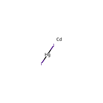 [Cd].[I][Hg][I]